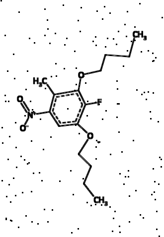 CCCCOc1cc([N+](=O)[O-])c(C)c(OCCCC)c1F